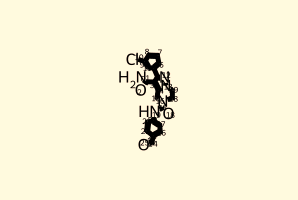 NC(=O)c1c(-c2cccc(Cl)c2)nn2c1CN(C(=O)Nc1ccc(C=O)cc1)CC2